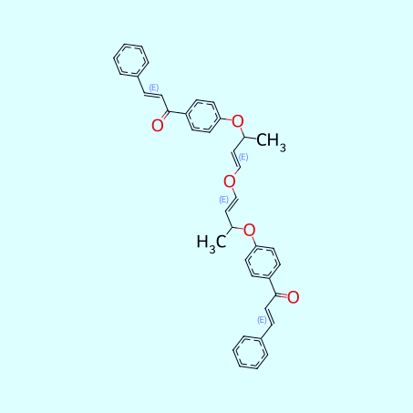 CC(/C=C/O/C=C/C(C)Oc1ccc(C(=O)/C=C/c2ccccc2)cc1)Oc1ccc(C(=O)/C=C/c2ccccc2)cc1